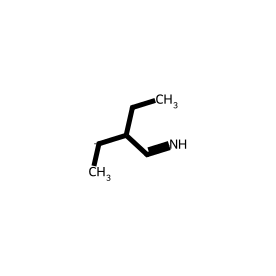 C[CH]C(C=N)CC